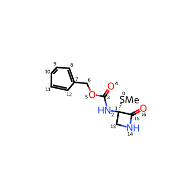 CS[C@@]1(NC(=O)OCc2ccccc2)CNC1=O